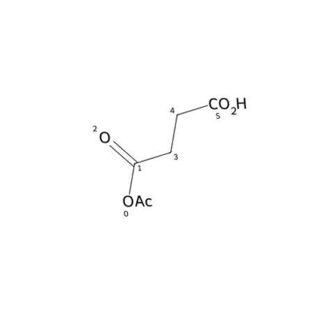 CC(=O)OC(=O)CCC(=O)O